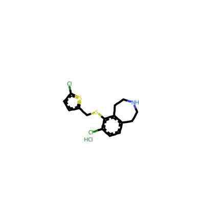 Cl.Clc1ccc(CSc2c(Cl)ccc3c2CCNCC3)s1